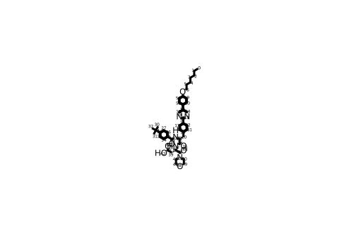 CCCCCCCOc1ccc(-c2cnc(-c3ccc(C[C@H](NC(=O)c4ccc(C(C)(C)C)cc4)C(=O)N[C@@H](CC(=O)O)C(=O)N4CCOCC4)cc3)nc2)cc1